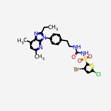 CCc1nc2c(C)cc(C)nc2n1-c1ccc(CCNC(=O)NS(=O)(=O)c2sc(Cl)cc2Br)cc1